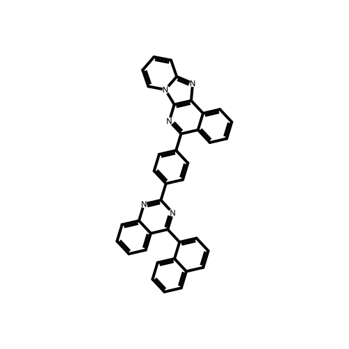 c1ccc2c(-c3nc(-c4ccc(-c5nc6c(nc7ccccn76)c6ccccc56)cc4)nc4ccccc34)cccc2c1